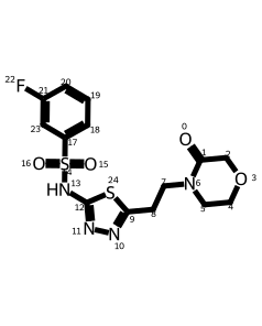 O=C1COCCN1CCc1nnc(NS(=O)(=O)c2cccc(F)c2)s1